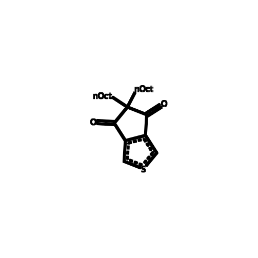 CCCCCCCCC1(CCCCCCCC)C(=O)c2cscc2C1=O